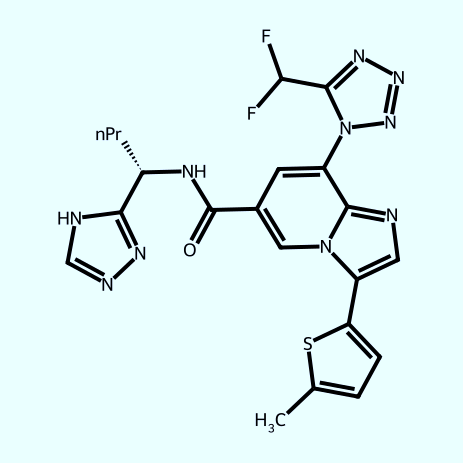 CCC[C@H](NC(=O)c1cc(-n2nnnc2C(F)F)c2ncc(-c3ccc(C)s3)n2c1)c1nnc[nH]1